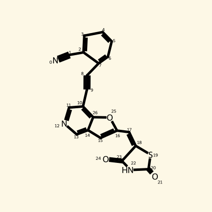 N#Cc1ccccc1C#Cc1cncc2cc(C=C3SC(=O)NC3=O)oc12